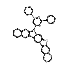 c1ccc(-c2nc(-c3ccccc3)nc(-n3c4cc5ccccc5cc4c4cc5c(cc43)oc3cc4ccccc4cc35)n2)cc1